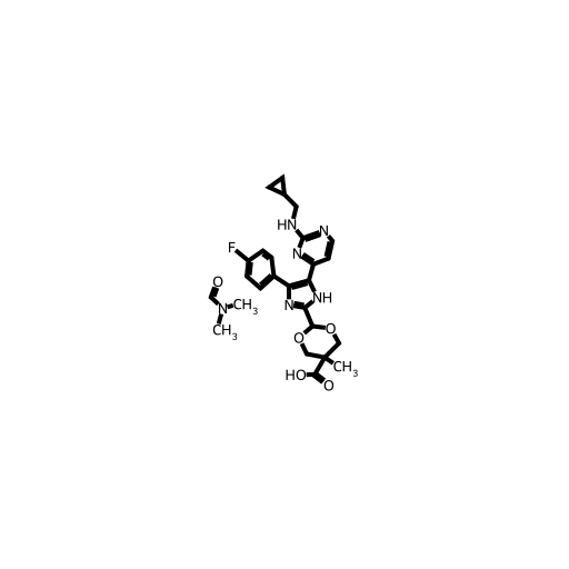 CC1(C(=O)O)COC(c2nc(-c3ccc(F)cc3)c(-c3ccnc(NCC4CC4)n3)[nH]2)OC1.CN(C)C=O